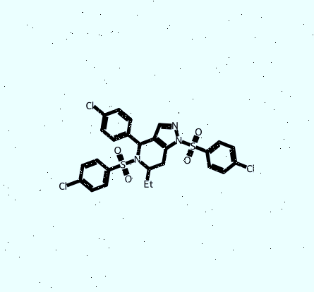 CCC1Cc2c(cnn2S(=O)(=O)c2ccc(Cl)cc2)C(c2ccc(Cl)cc2)N1S(=O)(=O)c1ccc(Cl)cc1